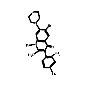 Cc1c(-c2ccc(C#N)cc2N)c(=O)c2cc(Br)c(N3CCOCC3)cc2n1C(C)C